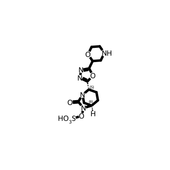 O=C1N2C[C@@H](CC[C@H]2c2nnc(C3CNCCO3)o2)N1OS(=O)(=O)O